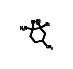 CCC1(CC)CC(C)CCC1(N)N